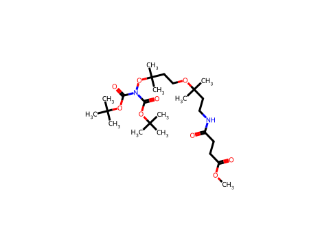 COC(=O)CCC(=O)NCCC(C)(C)OCCC(C)(C)ON(C(=O)OC(C)(C)C)C(=O)OC(C)(C)C